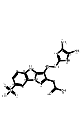 Nc1nc(NNc2c(CC(=O)O)nn3c2[nH]c2ccc(S(=O)(=O)O)cc23)[nH]c1N